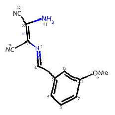 COc1cccc(C=N/C(C#N)=C(\N)C#N)c1